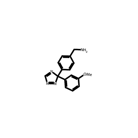 COc1cccc(C2(c3ccc(CN)cc3)N=CN=N2)c1